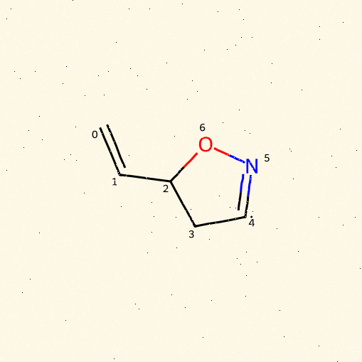 C=CC1C[C]=NO1